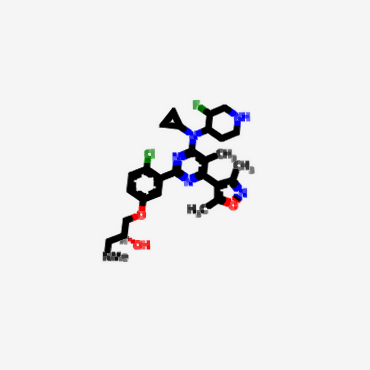 CNC[C@@H](O)COc1ccc(Cl)c(-c2nc(-c3c(C)noc3C)c(C)c(N(C3CC3)C3CCNCC3F)n2)c1